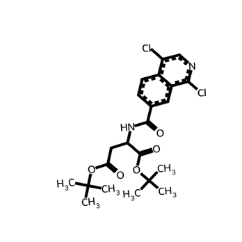 CC(C)(C)OC(=O)CC(NC(=O)c1ccc2c(Cl)cnc(Cl)c2c1)C(=O)OC(C)(C)C